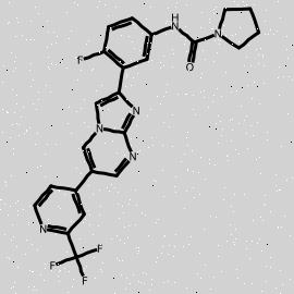 O=C(Nc1ccc(F)c(-c2cn3cc(-c4ccnc(C(F)(F)F)c4)cnc3n2)c1)N1CCCC1